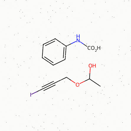 CC(O)OCC#CI.O=C(O)Nc1ccccc1